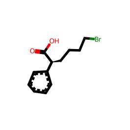 O=C(O)[C@@H](CCCCBr)c1ccccc1